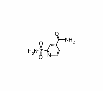 NC(=O)c1ccnc(S(N)(=O)=O)c1